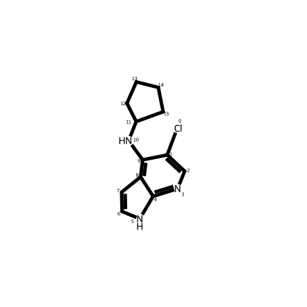 Clc1cnc2[nH]ccc2c1NC1CCCC1